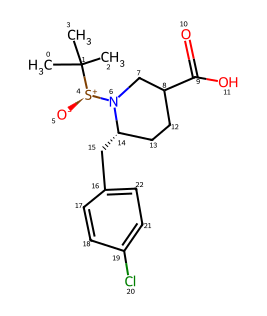 CC(C)(C)[S@+]([O-])N1CC(C(=O)O)CC[C@@H]1Cc1ccc(Cl)cc1